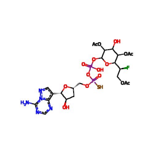 CC(=O)OC[C@H](F)C1OC(OP(=O)(O)OP(=O)(S)OC[C@@H]2C[C@@H](O)[C@H](c3cnn4c(N)ncnc34)O2)C(OC(C)=O)C(O)C1OC(C)=O